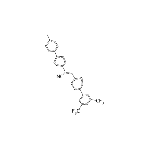 Cc1ccc(-c2ccc(/C(C#N)=C/c3ccc(-c4cc(C(F)(F)F)cc(C(F)(F)F)c4)cc3)cc2)cc1